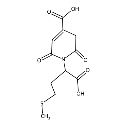 CSCCC(C(=O)O)N1C(=O)C=C(C(=O)O)CC1=O